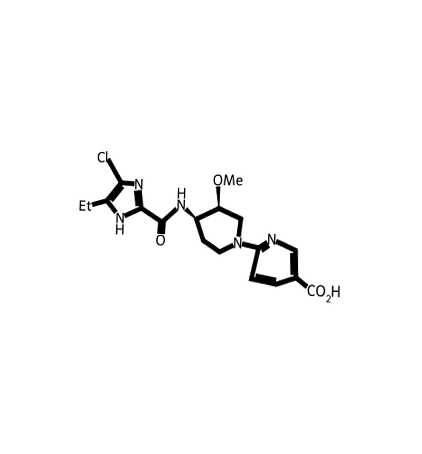 CCc1[nH]c(C(=O)N[C@@H]2CCN(c3ccc(C(=O)O)cn3)C[C@@H]2OC)nc1Cl